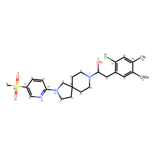 COc1cc(CC(O)N2CCC3(CCN(c4ccc(S(C)(=O)=O)cn4)C3)CC2)c(Cl)cc1C#N